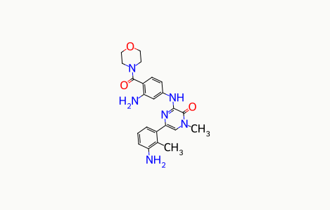 Cc1c(N)cccc1-c1cn(C)c(=O)c(Nc2ccc(C(=O)N3CCOCC3)c(N)c2)n1